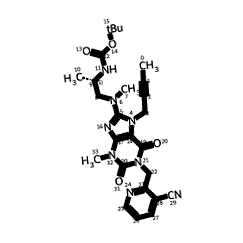 CC#CCn1c(N(C)C[C@H](C)NC(=O)OC(C)(C)C)nc2c1c(=O)n(Cc1ncccc1C#N)c(=O)n2C